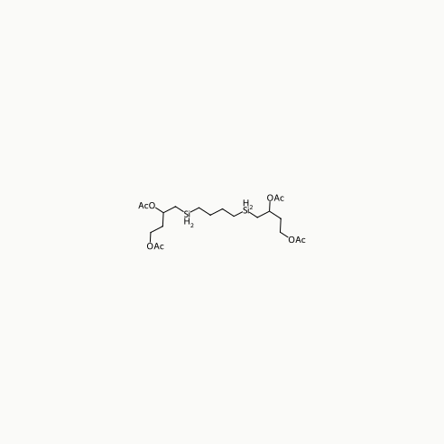 CC(=O)OCCC(C[SiH2]CCCC[SiH2]CC(CCOC(C)=O)OC(C)=O)OC(C)=O